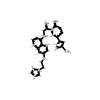 Cc1cc(-c2ccc(=N)n(C(=N)CNc3ccnc4cc(OCCn5cncn5)cnc34)n2)sn1